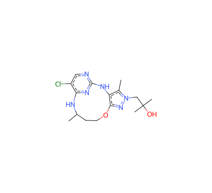 Cc1c2c(nn1CC(C)(C)O)OCCC(C)Nc1nc(ncc1Cl)N2